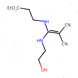 CCOC(=O)CCNC(NCCO)=C(C#N)C#N